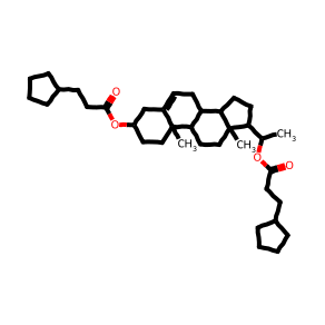 CC(OC(=O)CCC1CCCC1)C1CCC2C3CC=C4CC(OC(=O)CCC5CCCC5)CCC4(C)C3CCC12C